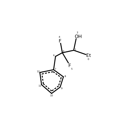 [CH2]CC(O)C(F)(F)Cc1ccccc1